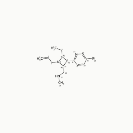 C=CCN1[C@H](CC)[C@H](c2ccc(Br)cn2)[C@@H]1CNC